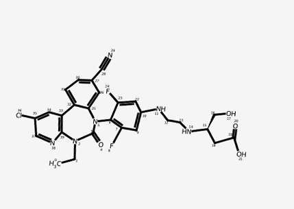 CCN1C(=O)N(c2c(F)cc(NCCN[C@@H](CO)CC(=O)O)cc2F)c2cc(C#N)ccc2-c2cc(Cl)cnc21